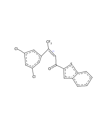 O=C(/C=C(\c1cc(Cl)cc(Cl)c1)C(F)(F)F)c1cc2ccccc2s1